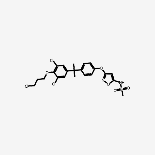 CC(C)(c1ccc(Oc2cc(NS(C)(=O)=O)on2)cc1)c1cc(Cl)c(OCCCCl)c(Cl)c1